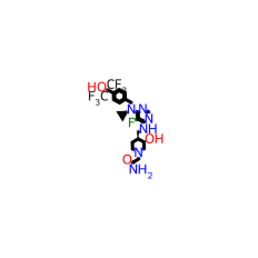 NC(=O)CN1CC[C@@H](CNc2ncnc(N(Cc3ccc(C(O)(C(F)(F)F)C(F)(F)F)cc3)C3CC3)c2F)[C@H](O)C1